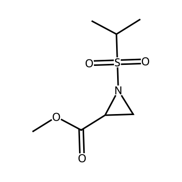 COC(=O)C1CN1S(=O)(=O)C(C)C